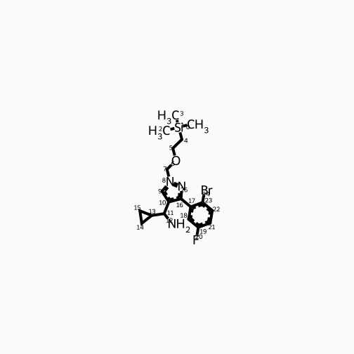 C[Si](C)(C)CCOCn1cc(C(N)C2CC2)c(-c2cc(F)ccc2Br)n1